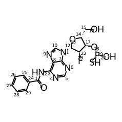 O=C(Nc1ncnc2c1ncn2[C@@H]1O[C@H](CO)[C@@H](O[PH](O)=S)[C@H]1F)c1ccccc1